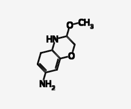 COC1COC2=CC(N)=CCC2N1